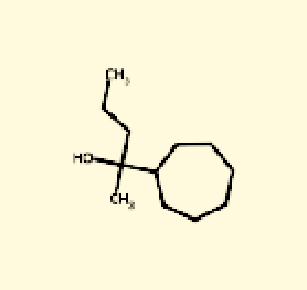 CCCC(C)(O)C1CCCCCC1